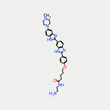 CN1CCN(c2ccc3[nH]c(-c4ccc5nc(-c6ccc(OCCCCC(=O)NCCN)cc6)[nH]c5c4)nc3c2)CC1